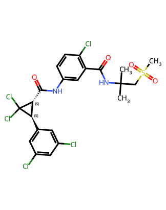 CC(C)(CS(C)(=O)=O)NC(=O)c1cc(NC(=O)[C@@H]2[C@@H](c3cc(Cl)cc(Cl)c3)C2(Cl)Cl)ccc1Cl